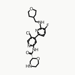 O=C(Nc1cc(-c2ccc(F)c(NCC3CCOCC3)n2)c(Cl)cn1)[C@H]1CNCCO1